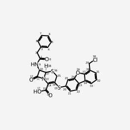 O=C(Cc1ccccc1)N[C@@H]1C(=O)N2C(C(=O)O)=C(Sc3ccc4c(c3)oc3c(CCl)cccc34)CS[C@H]12